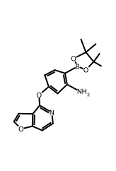 CC1(C)OB(c2ccc(Oc3nccc4occc34)cc2N)OC1(C)C